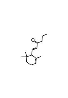 CCCC(=O)C=CC1C(C)=CCCC1(C)C